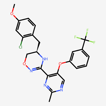 COc1ccc(C[C@@H]2CON=C(c3nc(C)ncc3Oc3cccc(C(F)(F)F)c3)N2)c(Cl)c1